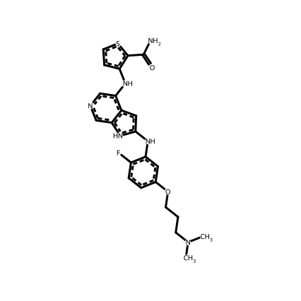 CN(C)CCCOc1ccc(F)c(Nc2cc3c(Nc4ccsc4C(N)=O)cncc3[nH]2)c1